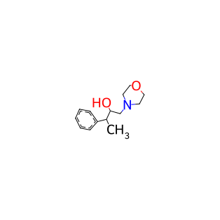 CC(c1ccccc1)C(O)CN1CCOCC1